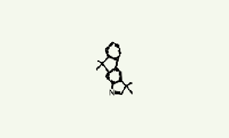 CC1(C)C=Nc2cc3c(cc21)-c1ccccc1C3(C)C